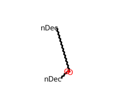 CCCCCCCCCCCCCCCCCCCCCCCCCCCCCCCCCCCC(=O)OCCCCCCCCCCCCCCC